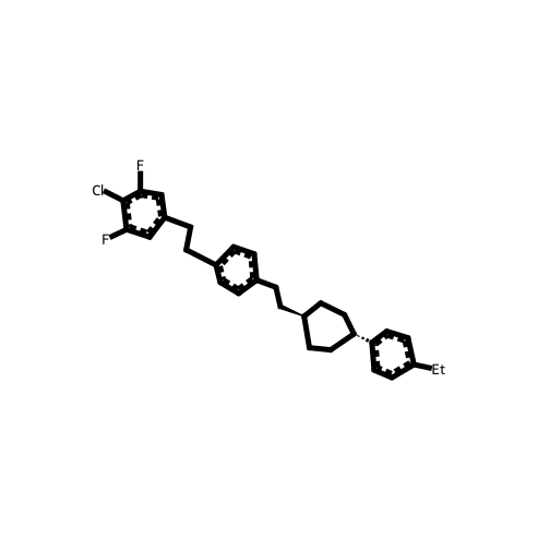 CCc1ccc([C@H]2CC[C@H](CCc3ccc(CCc4cc(F)c(Cl)c(F)c4)cc3)CC2)cc1